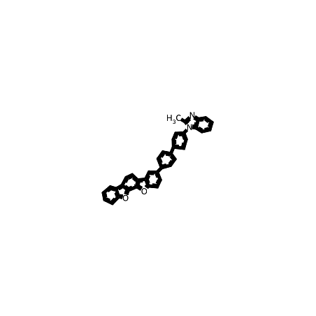 Cc1nc2ccccc2n1-c1ccc(-c2ccc(-c3ccc4oc5c(ccc6c7ccccc7oc65)c4c3)cc2)cc1